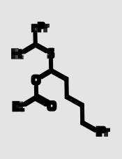 CCCC(CC)SC(CCCCC(C)C)OC(=O)CC